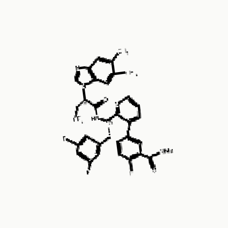 CNC(=O)c1cc(-c2cccnc2[C@H](Cc2cc(F)cc(F)c2)NC(=O)[C@@H](CC(F)(F)F)n2cnc3cc(C)c(C)cc32)ccc1F